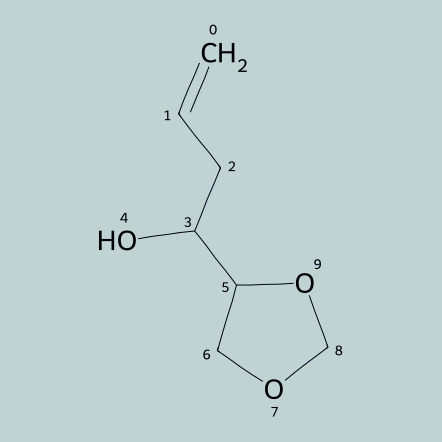 C=CCC(O)C1COCO1